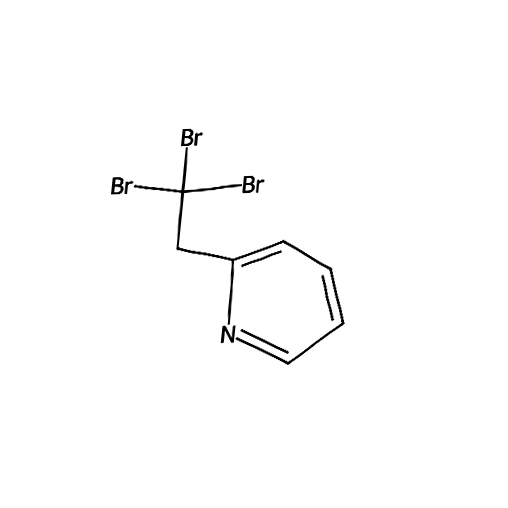 BrC(Br)(Br)Cc1ccccn1